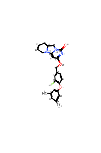 N#Cc1cc(Oc2ccc(COc3cc4n(c(=O)n3)CC3CCCCN43)cc2F)cc(C(F)(F)F)c1